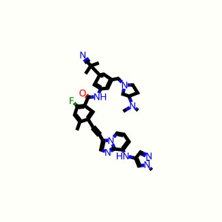 Cc1cc(F)c(C(=O)Nc2cc(CN3CCC(N(C)C)C3)cc(C(C)(C)C#N)c2)cc1C#Cc1cnc2c(Nc3cnn(C)c3)cccn12